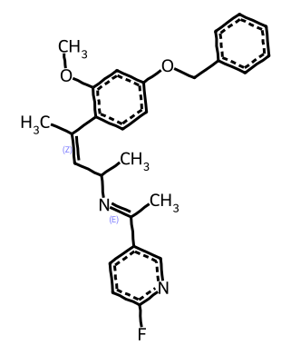 COc1cc(OCc2ccccc2)ccc1/C(C)=C\C(C)/N=C(\C)c1ccc(F)nc1